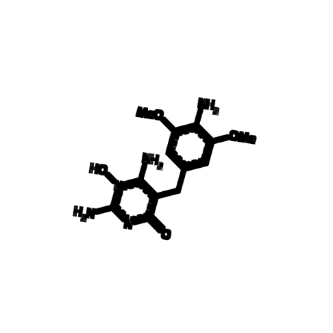 COc1cc(Cc2c(N)n(O)c(N)nc2=O)cc(OC)c1N